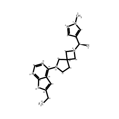 CC[C@H](c1cnn(C)c1)N1CC2(CCN(c3ncnc4sc(CC(F)(F)F)cc34)C2)C1